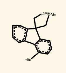 COCC1(COC)c2ccccc2-c2c(C(C)(C)C)cccc21